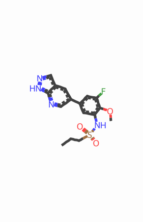 CCCS(=O)(=O)Nc1cc(-c2cnc3[nH]ncc3c2)cc(F)c1OC